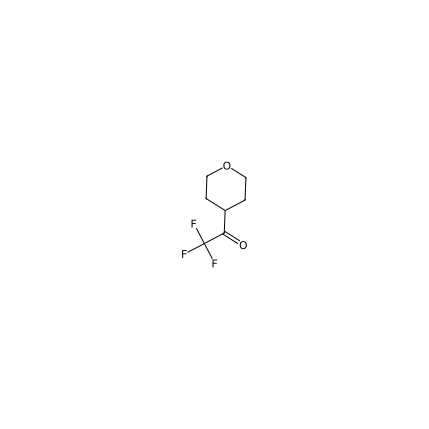 O=C(C1CCOCC1)C(F)(F)F